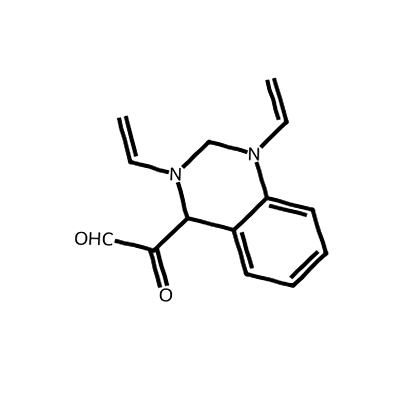 C=CN1CN(C=C)C(C(=O)C=O)c2ccccc21